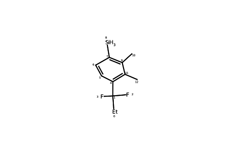 CCC(F)(F)c1ccc([SiH3])c(C)c1C